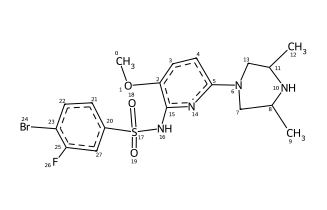 COc1ccc(N2CC(C)NC(C)C2)nc1NS(=O)(=O)c1ccc(Br)c(F)c1